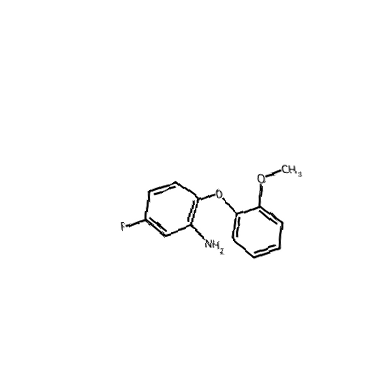 COc1ccccc1Oc1ccc(F)cc1N